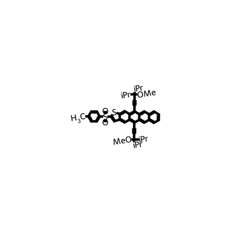 COC(C#Cc1c2cc3ccccc3cc2c(C#CC(OC)(C(C)C)C(C)C)c2cc3sc(S(=O)(=O)c4ccc(C)cc4)cc3cc12)(C(C)C)C(C)C